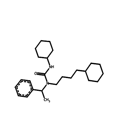 CC(c1cc[c]cc1)N(CCCCC1CCCCC1)C(=O)NC1CCCCC1